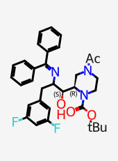 CC(=O)N1CCN(C(=O)OC(C)(C)C)[C@@H]([C@@H](O)C(Cc2cc(F)cc(F)c2)N=C(c2ccccc2)c2ccccc2)C1